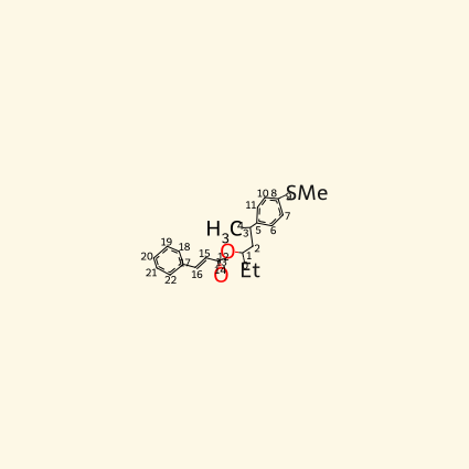 CCC(CC(C)c1ccc(SC)cc1)OC(=O)C=Cc1ccccc1